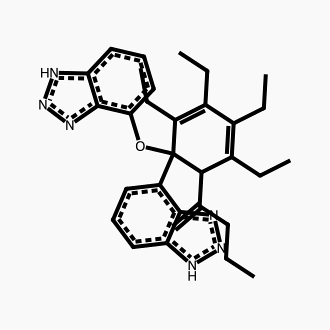 C=C(CCC)C1C(CC)=C(CC)C(CC)=C(CC)C1(Oc1cccc2[nH]nnc12)c1cccc2[nH]nnc12